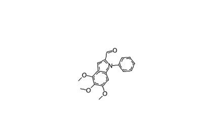 COc1cc2c(cc(C=O)n2-c2ccccc2)c(OC)c1OC